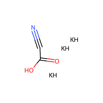 N#CC(=O)O.[KH].[KH].[KH]